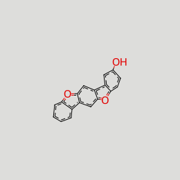 Oc1ccc2oc3cc4c(cc3c2c1)oc1ccccc14